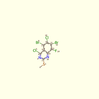 CSc1nc(Cl)c2c(Br)c(Cl)c(Br)c(F)c2n1